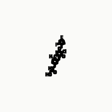 Cc1nc(OCc2ccc(F)cc2F)c(Cl)c(=O)n1Cc1cccc(CNC(=O)CO)c1